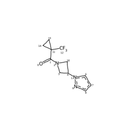 O=C(N1CC(n2c[c]cn2)C1)C1(C(F)(F)F)CC1